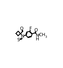 CNC(=O)c1ccc(N(C=S)C2(C=O)CCC2)cc1F